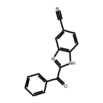 N#Cc1ccc2[nH]c(C(=O)c3ccccc3)nc2c1